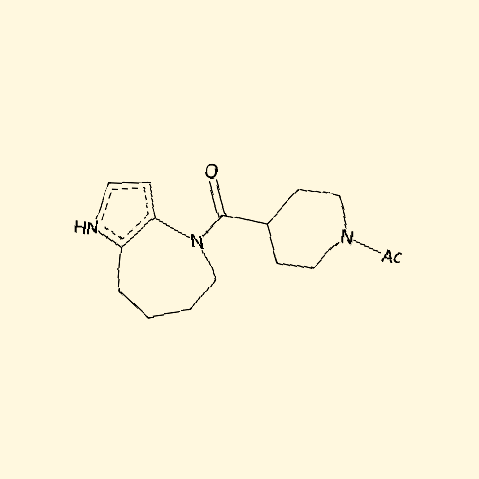 CC(=O)N1CCC(C(=O)N2CCCCc3[nH]ccc32)CC1